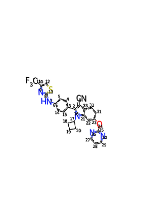 N#Cc1c(-c2ccc(Nc3nc(C(F)(F)F)cs3)cc2)n(C2CCC2)c2cc(Oc3ncccn3)ccc12